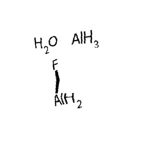 O.[AlH3].[F][AlH2]